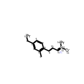 Cc1cc(CC(C)C)ccc1CC/C=[N+](/[O-])C(C)C